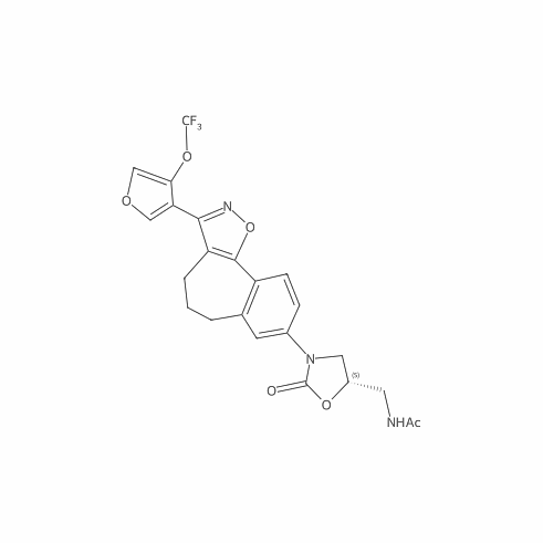 CC(=O)NC[C@H]1CN(c2ccc3c(c2)CCCc2c(-c4cocc4OC(F)(F)F)noc2-3)C(=O)O1